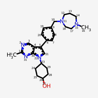 Cc1ncc2c(-c3ccc(CN4CCCN(C)CC4)cc3)cn(C3CCC(O)CC3)c2n1